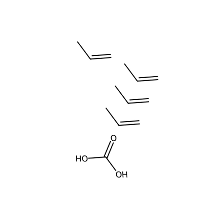 C=CC.C=CC.C=CC.C=CC.O=C(O)O